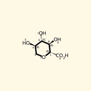 O=C(O)[C@@H]1OC[C@@H](O)[C@H](O)[C@H]1O